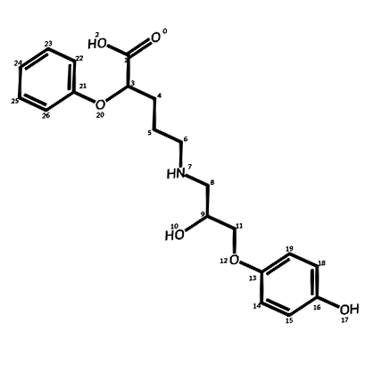 O=C(O)C(CCCNCC(O)COc1ccc(O)cc1)Oc1ccccc1